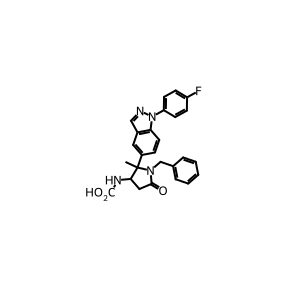 CC1(c2ccc3c(cnn3-c3ccc(F)cc3)c2)C(NC(=O)O)CC(=O)N1Cc1ccccc1